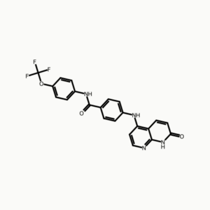 O=C(Nc1ccc(OC(F)(F)F)cc1)c1ccc(Nc2ccnc3[nH]c(=O)ccc23)cc1